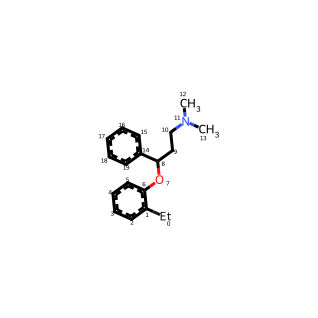 CCc1ccccc1OC(CCN(C)C)c1ccccc1